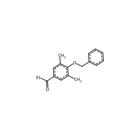 CCC(=O)c1cc(C)c(OCc2ccccc2)c(C)c1